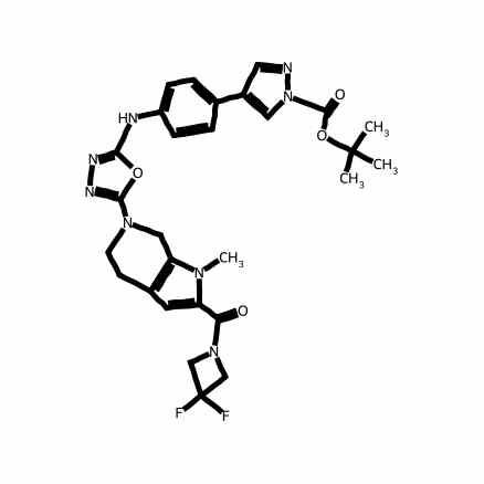 Cn1c(C(=O)N2CC(F)(F)C2)cc2c1CN(c1nnc(Nc3ccc(-c4cnn(C(=O)OC(C)(C)C)c4)cc3)o1)CC2